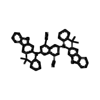 CC1(C)c2ccccc2N(c2cc(C#N)c3cc(N4c5ccccc5C(C)(C)c5cc6c(cc54)oc4ccccc46)cc(C#N)c3c2)c2cc3oc4ccccc4c3cc21